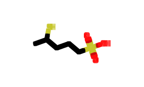 CC(S)CCCS(=O)(=O)O